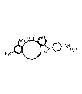 CCN(c1cncc2c1CC=CCCCc1cc(C)cc(OC)c1CNC2=O)[C@H]1CC[C@H](NC(=O)O)CC1